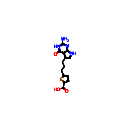 Nc1nc2[nH]cc(CCCc3ccc(C(=O)O)s3)c2c(=O)[nH]1